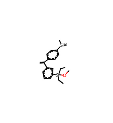 C=C(c1ccc([SiH](C)C)cc1)c1cccc([Si](CC)(CC)OC)c1